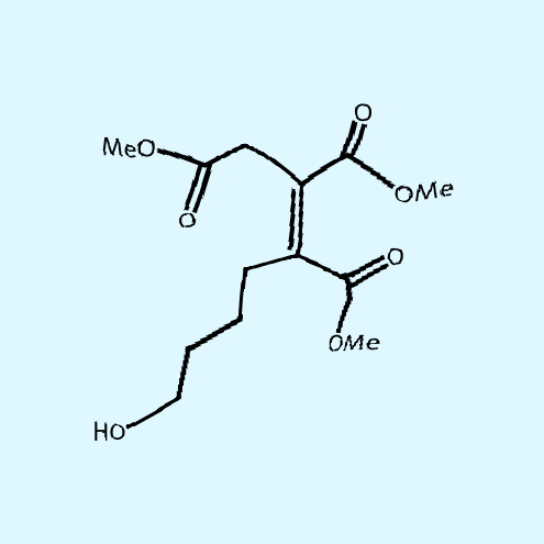 COC(=O)CC(C(=O)OC)=C(CCCCO)C(=O)OC